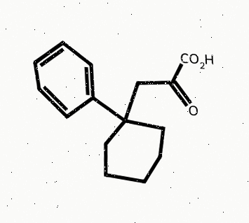 O=C(O)C(=O)CC1(c2ccccc2)CCCCC1